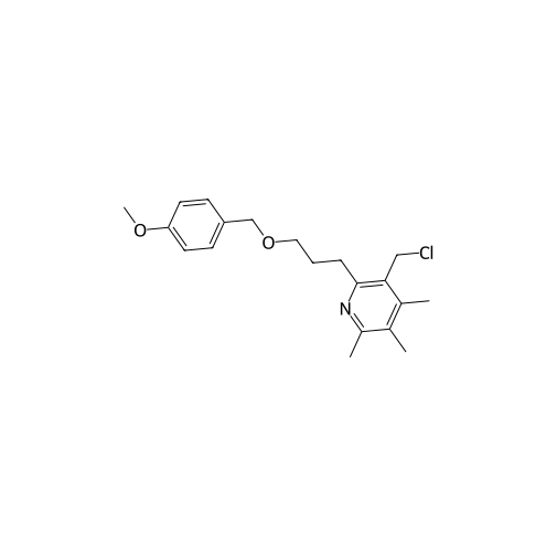 COc1ccc(COCCCc2nc(C)c(C)c(C)c2CCl)cc1